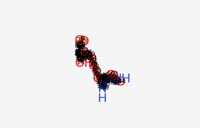 CS(=O)(=O)c1ccc(-c2ccc3cc(O)ccc3c2Oc2ccc(OCCOCCOCCOCCC3CNCCN3c3cccc4c3CN(C3CCC(=O)NC3=O)C4=O)cc2)cc1